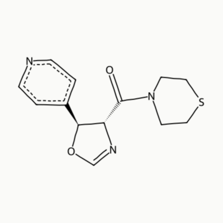 O=C([C@@H]1N=CO[C@H]1c1ccncc1)N1CCSCC1